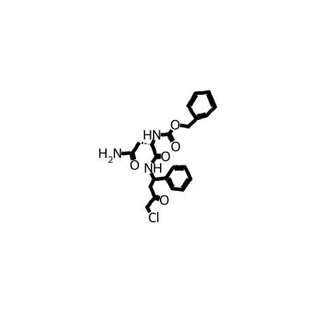 NC(=O)C[C@H](NC(=O)OCc1ccccc1)C(=O)NC(CC(=O)CCl)c1ccccc1